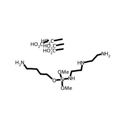 CC(=O)O.CC(=O)O.CC(=O)O.CC(=O)O.CO[Si](NCCNCCN)(OC)OCCCCN